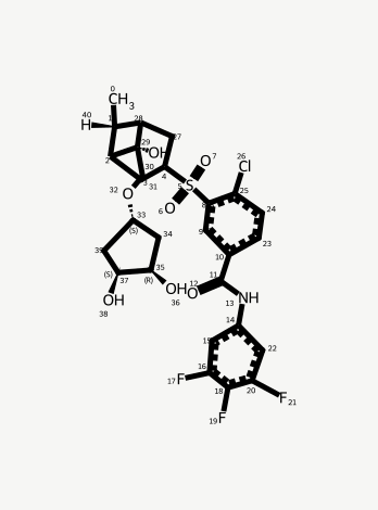 C[C@H]1C2CC(S(=O)(=O)c3cc(C(=O)Nc4cc(F)c(F)c(F)c4)ccc3Cl)CC1[C@@]2(O)CO[C@@H]1C[C@@H](O)[C@@H](O)C1